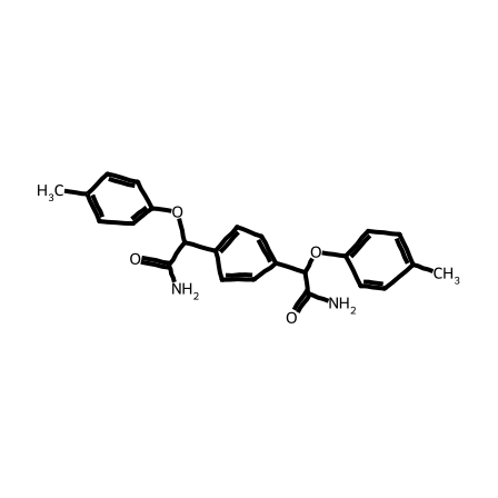 Cc1ccc(OC(C(N)=O)c2ccc(C(Oc3ccc(C)cc3)C(N)=O)cc2)cc1